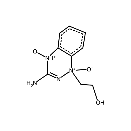 NC1=N[N+]([O-])(CCO)c2ccccc2[NH+]1[O-]